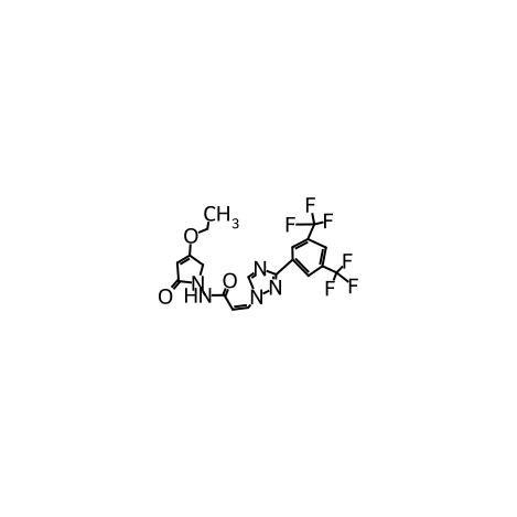 CCOC1=CC(=O)N(NC(=O)/C=C\n2cnc(-c3cc(C(F)(F)F)cc(C(F)(F)F)c3)n2)C1